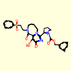 O=C1c2c(O)c(=O)nc(C3CCCN3C(=O)OCc3ccccc3)n2CCCN1CCS(=O)(=O)c1ccccc1